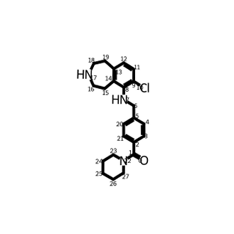 O=C(c1ccc(CNc2c(Cl)ccc3c2CCNCC3)cc1)N1CCCCC1